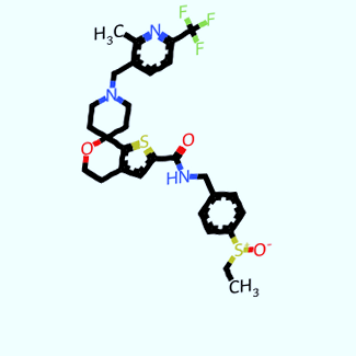 CC[S+]([O-])c1ccc(CNC(=O)c2cc3c(s2)C2(CCN(Cc4ccc(C(F)(F)F)nc4C)CC2)OCC3)cc1